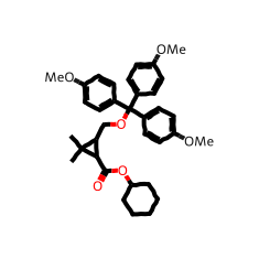 COc1ccc(C(OCC2C(C(=O)OC3CCCCC3)C2(C)C)(c2ccc(OC)cc2)c2ccc(OC)cc2)cc1